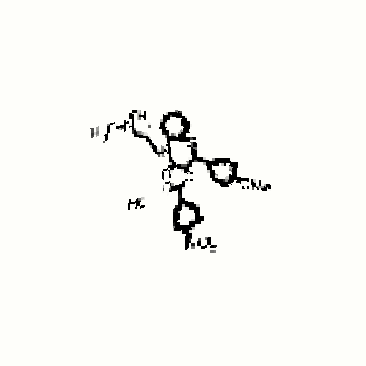 COc1ccc(C2Sc3ccccc3N(CCCN(C)C)C(=O)C2OC(=O)c2ccc([N+](=O)[O-])cc2)cc1.Cl